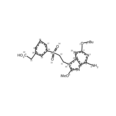 CCCCOc1nc(N)c2nc(OC)n(CCS(=O)(=O)c3cccc(CC(=O)O)c3)c2n1